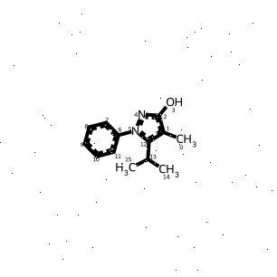 Cc1c(O)nn(-c2ccccc2)c1C(C)C